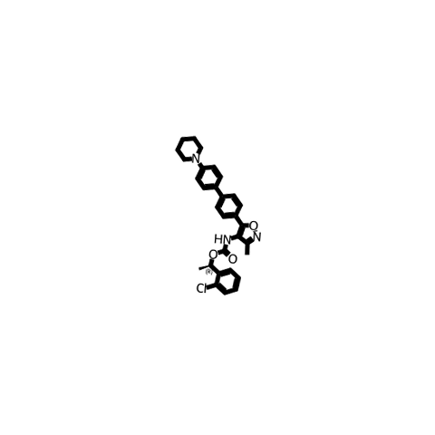 Cc1noc(-c2ccc(-c3ccc(N4CCCCC4)cc3)cc2)c1NC(=O)O[C@H](C)c1ccccc1Cl